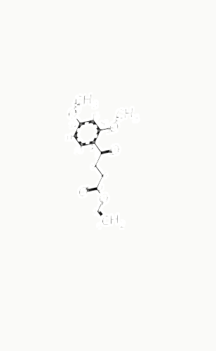 C=COC(=O)CCC(=O)c1ccc(OC)cc1OC